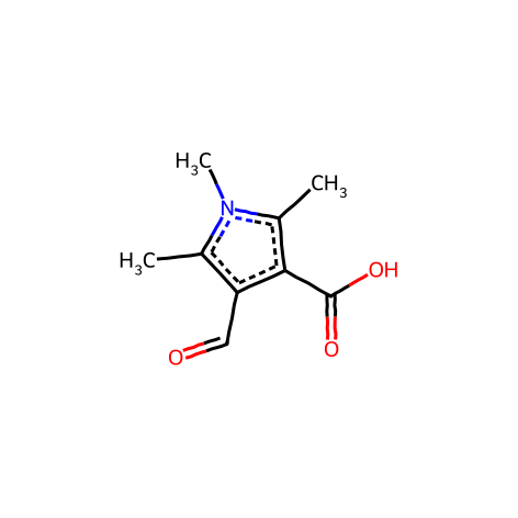 Cc1c(C=O)c(C(=O)O)c(C)n1C